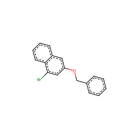 Brc1cc(OCc2ccccc2)cc2ccccc12